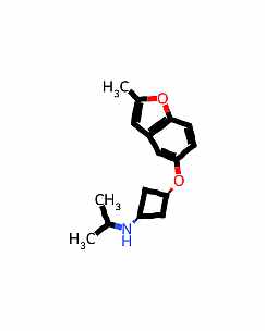 Cc1cc2cc(O[C@H]3C[C@@H](NC(C)C)C3)ccc2o1